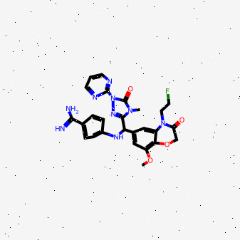 COc1cc(C(Nc2ccc(C(=N)N)cc2)c2nn(-c3ncccn3)c(=O)n2C)cc2c1OCC(=O)N2CCF